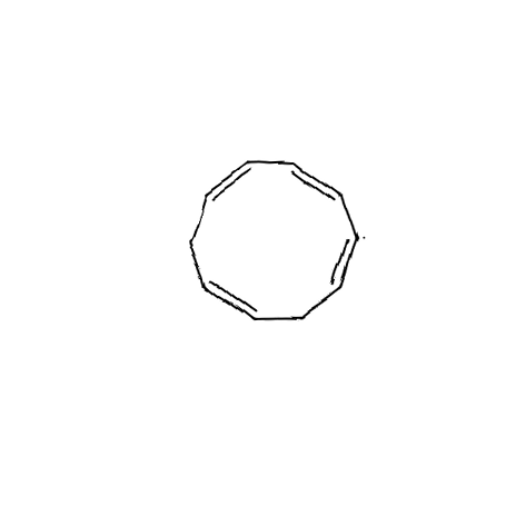 [C]1=CCC=CCC=CC=C1